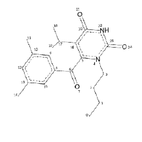 CCCCn1c(C(=O)c2cc(C)cc(C)c2)c(C(C)C)c(=O)[nH]c1=O